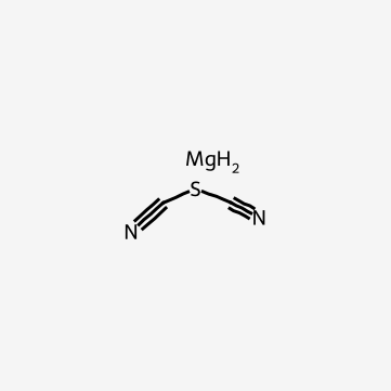 N#CSC#N.[MgH2]